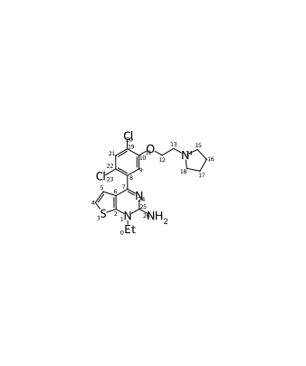 CCN1c2sccc2C(c2cc(OCCN3CCCC3)c(Cl)cc2Cl)=NC1N